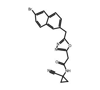 N#CC1(NC(=O)Cc2nnc(Cc3ccc4cc(Br)ccc4c3)o2)CC1